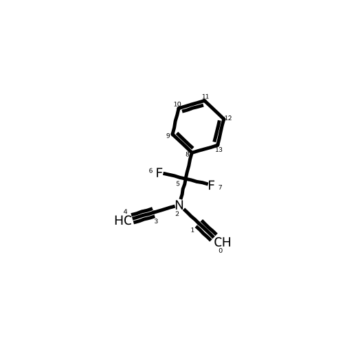 C#CN(C#C)C(F)(F)c1ccccc1